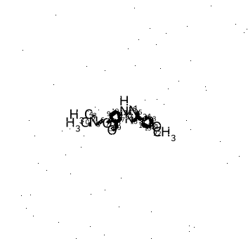 CCN(CC)CCOc1ccc(Nc2ncc(-c3ccc(OC)cc3)cn2)cc1C=O